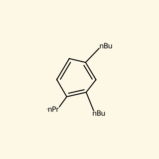 CC[CH]c1ccc(CCCC)cc1CCCC